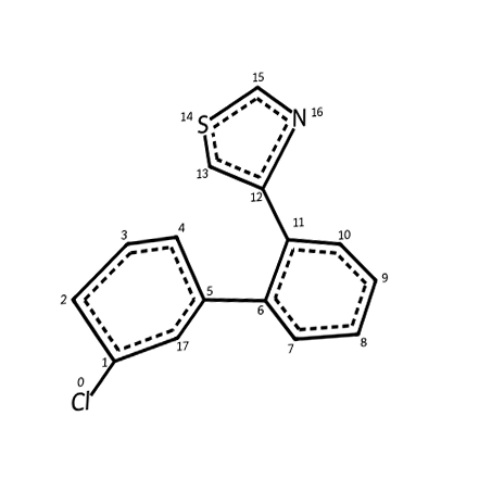 Clc1cccc(-c2ccccc2-c2cscn2)c1